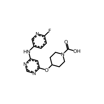 O=C(O)N1CCC(Oc2cc(Nc3ccc(F)nc3)ncn2)CC1